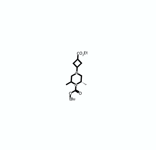 CCOC(=O)C1CC(N2CC(C)N(C(=O)OC(C)(C)C)[C@@H](C)C2)C1